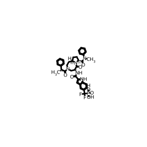 C[C@H](C(=O)N1CC[C@H]2CC[C@@H](C(=O)N(C)c3ccccc3)N2C(=O)[C@@H](NC(=O)c2cc3cc(C(F)(F)P(=O)(O)O)ccc3[nH]2)C1)c1ccccc1